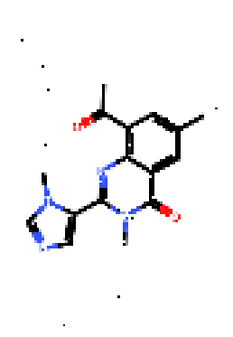 CC(=O)c1cc(C)cc2c(=O)n(C)c(-c3cncn3C)nc12